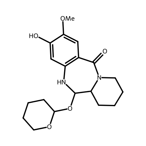 COc1cc2c(cc1O)NC(OC1CCCCO1)C1CCCCN1C2=O